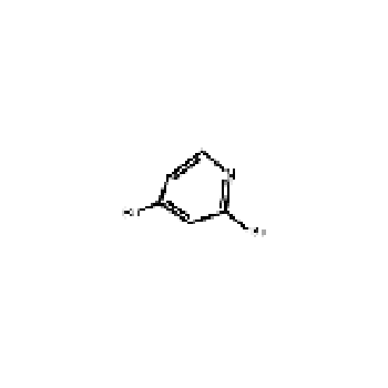 CCC(C)c1ccnc(C(C)CC)c1